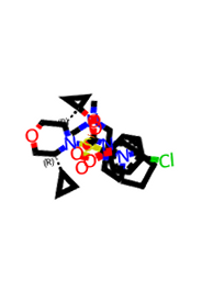 CN(C)CC(=O)N1C2CCC1CN(C(=O)OC1([C@H]3COC[C@@H](C4CC4)N3S(=O)(=O)c3ccc(Cl)cc3)CC1)C2